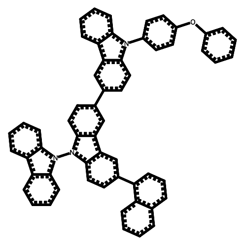 c1ccc(Oc2ccc(-n3c4ccccc4c4cc(-c5ccc6c(c5)c5cc(-c7cccc8ccccc78)ccc5n6-n5c6ccccc6c6ccccc65)ccc43)cc2)cc1